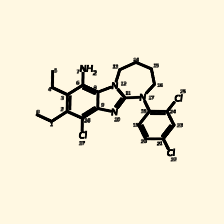 CCc1c(CC)c(N)c2c(nc3n2CCCCN3c2ccc(Cl)cc2Cl)c1Cl